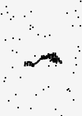 [BiH3].[InH3].[SbH2][TeH]